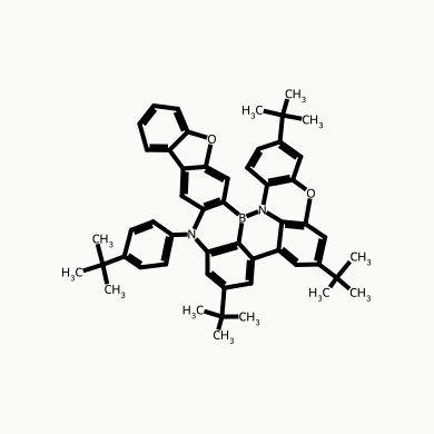 CC(C)(C)c1ccc(N2c3cc4c(cc3B3c5c(cc(C(C)(C)C)cc52)-c2cc(C(C)(C)C)cc5c2N3c2ccc(C(C)(C)C)cc2O5)oc2ccccc24)cc1